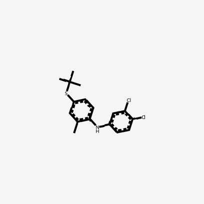 Cc1cc(SC(C)(C)C)ccc1Nc1ccc(Cl)c(Cl)c1